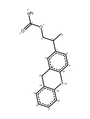 CCCC(=O)OCC(C)c1ccc2c(c1)Cc1ccccc1S2